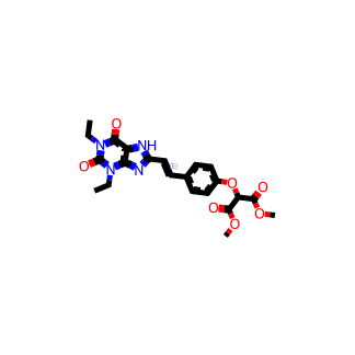 CCn1c(=O)c2[nH]c(/C=C/c3ccc(OC(C(=O)OC)C(=O)OC)cc3)nc2n(CC)c1=O